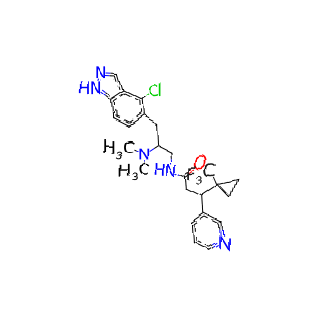 CN(C)C(CNC(=O)CC(c1cccnc1)C1(C(F)(F)F)CC1)Cc1ccc2[nH]ncc2c1Cl